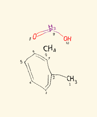 C.Cc1ccccc1.O=[PH2]O